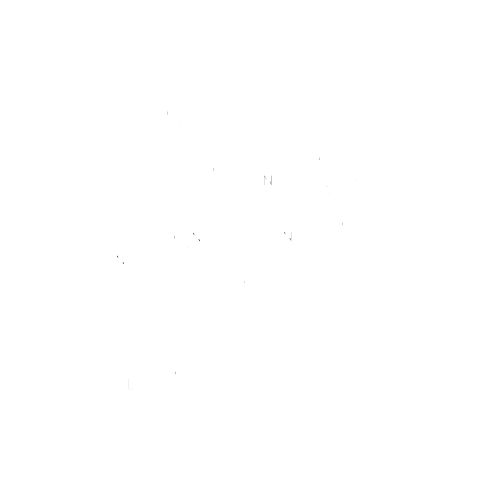 CCOC(=O)COc1nc(S(C)(=O)=O)nc(Oc2cc(C#N)cc(OCC)c2)c1[N+](=O)[O-]